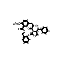 CC[C@@H](Cc1ccc(OC)c(C(=O)OCc2ccccc2)c1)C(=O)N1C(=O)OCC1Cc1ccccc1